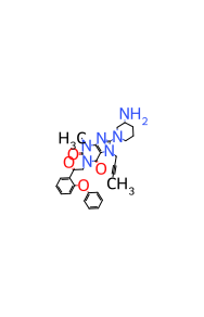 CC#CCn1c(N2CCC[C@@H](N)C2)nc2c1c(=O)n(CC(=O)c1ccccc1Oc1ccccc1)c(=O)n2C